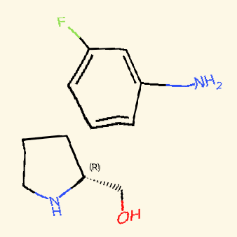 Nc1cccc(F)c1.OC[C@H]1CCCN1